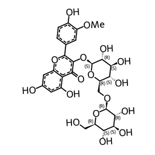 COc1cc(-c2oc3cc(O)cc(O)c3c(=O)c2O[C@@H]2O[C@H](CO[C@@H]3O[C@H](CO)[C@@H](O)[C@H](O)[C@H]3O)[C@@H](O)[C@H](O)[C@H]2O)ccc1O